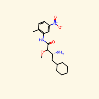 COC(C(=O)Nc1cc([N+](=O)[O-])ccc1C)[C@H](N)CC1CCCCC1